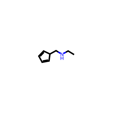 CCNCC1C=CC=C1